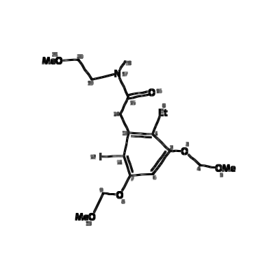 CCc1c(OCOC)cc(OCOC)c(I)c1CC(=O)N(C)CCOC